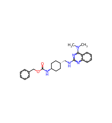 CN(C)c1nc(NC[C@H]2CC[C@H](NC(=O)OCc3ccccc3)CC2)nc2ccccc12